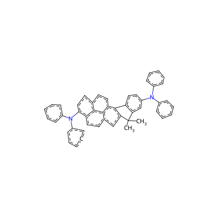 CC1(C)c2cc(N(c3ccccc3)c3ccccc3)ccc2-c2c1cc1ccc3c(N(c4ccccc4)c4ccccc4)ccc4ccc2c1c43